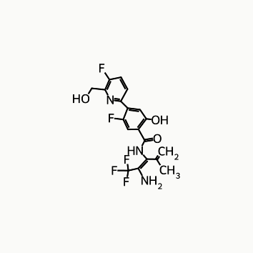 C=C(C)/C(NC(=O)c1cc(F)c(-c2ccc(F)c(CO)n2)cc1O)=C(\N)C(F)(F)F